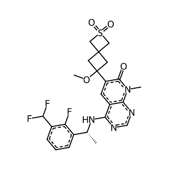 COC1(c2cc3c(N[C@H](C)c4cccc(C(F)F)c4F)ncnc3n(C)c2=O)CC2(C1)CS(=O)(=O)C2